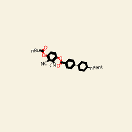 CCCCC[C@H]1CC[C@H](c2ccc(C(=O)Oc3ccc(OC(=O)CCCC)c(C#N)c3C#N)cc2)CC1